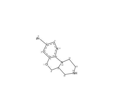 CC(C)c1cnc2c(c1)OCC1CNCCN21